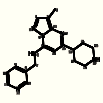 Cc1cnn2c(NCc3cccnc3)cc(C3CCNCC3)nc12